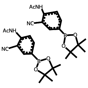 CC(=O)Nc1ccc(B2OC(C)(C)C(C)(C)O2)cc1C#N.CC(=O)Nc1ccc(B2OC(C)(C)C(C)(C)O2)cc1C#N